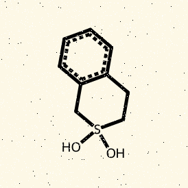 OS1(O)CCc2ccccc2C1